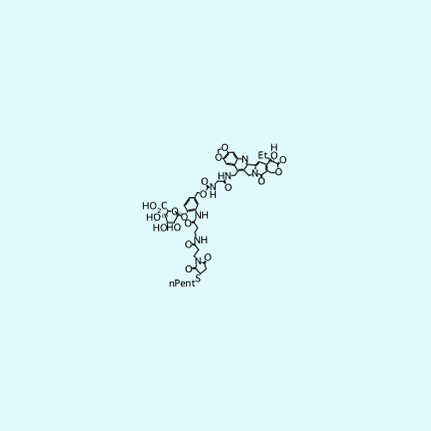 CCCCCSC1CC(=O)N(CCC(=O)NCCC(=O)Nc2cc(COC(=O)NCC(=O)NCc3c4c(nc5cc6c(cc35)OCO6)-c3cc5c(c(=O)n3C4)COC(=O)[C@]5(O)CC)ccc2O[C@@H]2OC(C(=O)O)[C@@H](O)C(O)C2O)C1=O